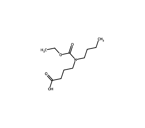 CCCCN(CCCC(=O)O)C(=O)OCC